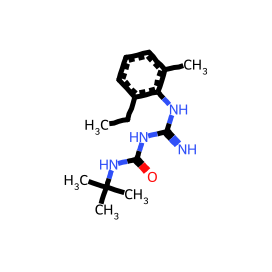 CCc1cccc(C)c1NC(=N)NC(=O)NC(C)(C)C